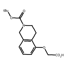 CC(C)(C)OC(=O)N1CCc2c(cccc2OCC(=O)O)C1